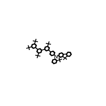 CC(C)(C)c1cc(-c2ccc(N(c3ccc4c(c3)C(C)(C)c3ccccc3-4)c3ccccc3C(C)(C)C)cc2)cc(-c2cc(-c3cc(C(C)(C)C)cc(C(C)(C)C)c3)cc(C(C)(C)C)c2)c1